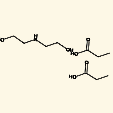 CCC(=O)O.CCC(=O)O.OCCNCCO